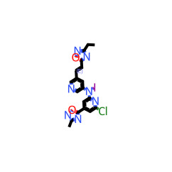 CCc1noc(/C=C/c2cncc(N(I)c3cc(-c4nc(C)no4)cc(Cl)n3)c2)n1